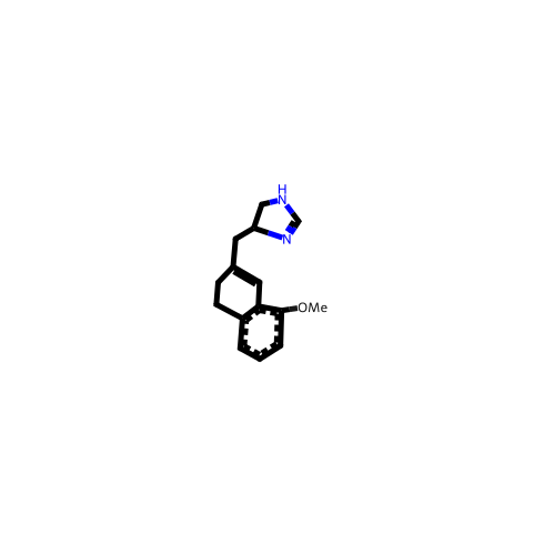 COc1cccc2c1C=C(CC1CNC=N1)CC2